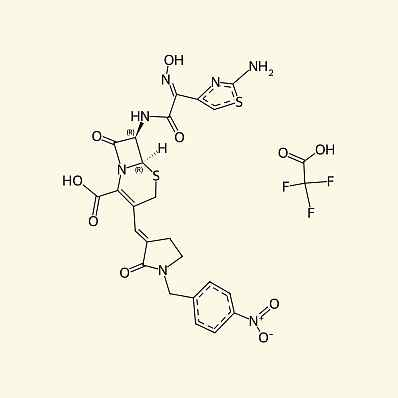 Nc1nc(C(=NO)C(=O)N[C@@H]2C(=O)N3C(C(=O)O)=C(C=C4CCN(Cc5ccc([N+](=O)[O-])cc5)C4=O)CS[C@H]23)cs1.O=C(O)C(F)(F)F